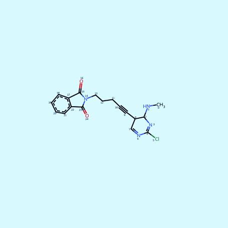 CNC1N=C(Cl)N=CC1C#CCCCN1C(=O)c2ccccc2C1=O